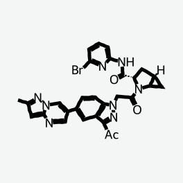 CC(=O)c1nn(CC(=O)N2C3C[C@@H]3C[C@H]2C(=O)Nc2cccc(Br)n2)c2ccc(-c3cnc4cc(C)nn4c3)cc12